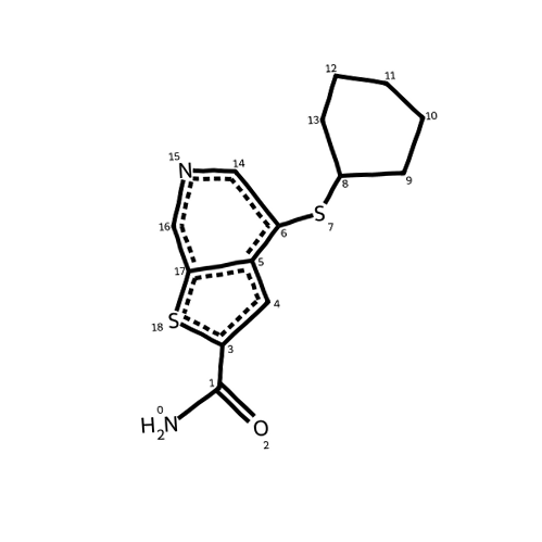 NC(=O)c1cc2c(SC3CCCCC3)cncc2s1